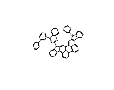 c1ccc(-c2cccc(-c3nc(-n4c5ccccc5c5c6cccc7c8cccc9c8c(cc8c9c9ccccc9n8-c8ccccc8)c(cc54)c76)nc4ccccc34)c2)cc1